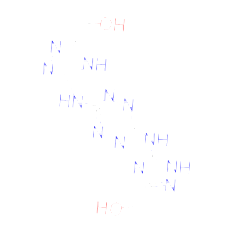 OCc1n[nH]c(Nc2nnc(Nc3nnc(CO)[nH]3)nn2)n1